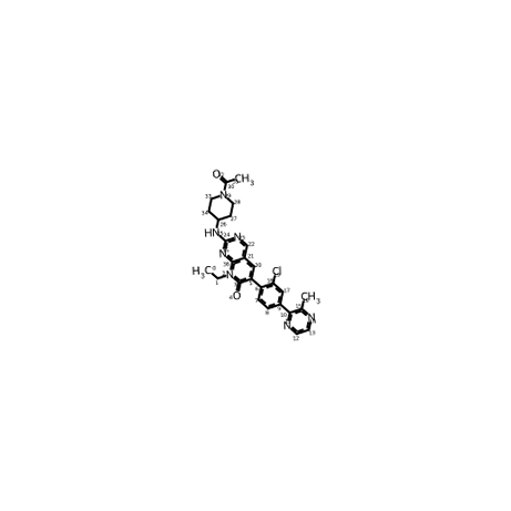 CCn1c(=O)c(-c2ccc(-c3nccnc3C)cc2Cl)cc2cnc(NC3CCN(C(C)=O)CC3)nc21